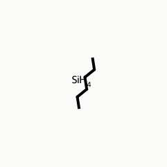 CCCCCC.[SiH4]